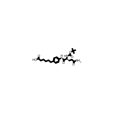 CC(C)(C)OC(=O)N[C@@H](CCC(N)=O)C(=O)Nc1ccc(CCCCCC(=O)O)cc1